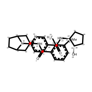 COc1cccc(C(=O)NC2CC3CCC(C2)N3c2ccc(C(=O)N[C@H]3CCC[C@@H]3O)cn2)c1C